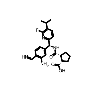 CC(C)c1ccc([C@@H](NC(=O)[C@@H]2CCC[C@@H]2C(=O)O)c2ccc(C=N)c(N)c2)nc1F